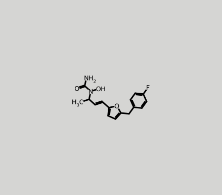 CC(/C=C/c1ccc(Cc2ccc(F)cc2)o1)N(O)C(N)=O